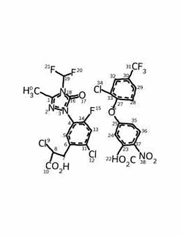 Cc1nn(-c2cc(CC(Cl)C(=O)O)c(Cl)cc2F)c(=O)n1C(F)F.O=C(O)c1cc(Oc2ccc(C(F)(F)F)cc2Cl)ccc1[N+](=O)[O-]